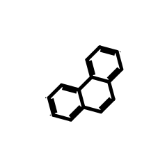 [c]1[c]cc2c(c1)ccc1c[c]ccc12